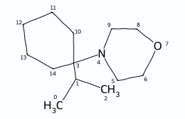 CC(C)C1(N2CCOCC2)CCCCC1